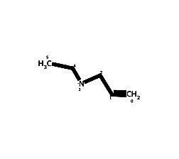 C=CC[N]CC